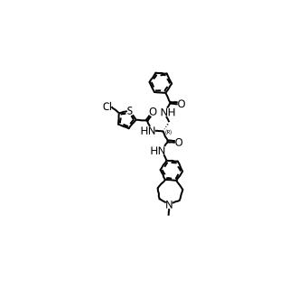 CN1CCc2ccc(NC(=O)[C@@H](CNC(=O)c3ccccc3)NC(=O)c3ccc(Cl)s3)cc2CC1